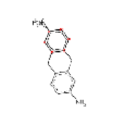 Cc1ccc2c(c1)C1c3ccc(N)cc3C2c2ccc(N)cc21